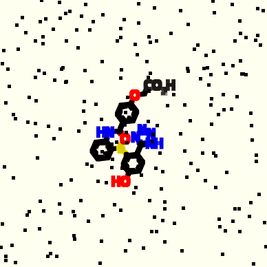 O=C(O)COc1ccc(C(=O)Nc2ccccc2Sc2cc(O)ccc2-c2nnn[nH]2)cc1